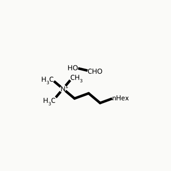 CCCCCCCCC[N+](C)(C)C.O=CO